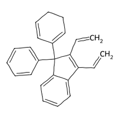 C=CC1=C(C=C)C(C2=CCCC=C2)(c2ccccc2)c2ccccc21